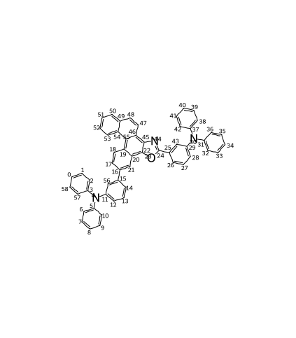 c1ccc(N(c2ccccc2)c2cccc(-c3ccc4c(c3)c3oc(-c5cccc(N(c6ccccc6)c6ccccc6)c5)nc3c3ccc5ccccc5c43)c2)cc1